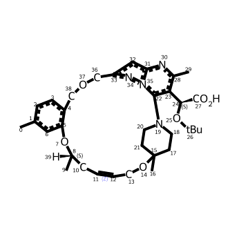 Cc1ccc2c(c1)O[C@@H](C)C/C=C\COC1(C)CCN(CC1)c1c([C@H](OC(C)(C)C)C(=O)O)c(C)nc3cc(nn13)COC2